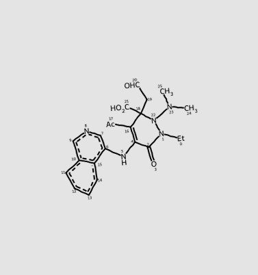 CCN1C(=O)C(Nc2cncc3ccccc23)=C(C(C)=O)C(CC=O)(C(=O)O)N1N(C)C